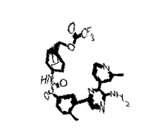 Cc1cc(-c2nc(-c3cc(S(=O)(=O)NC45CCC(COC(=O)C(F)(F)F)(CC4)OC5)ccc3C)cnc2N)ccn1